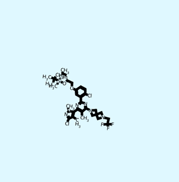 CCC[C@H](COc1ccc(Cl)c(-c2nc(-c3c(C)c(Cl)nn3C)c(C)c(N3CC4(CN(CC(F)(F)F)C4)C3)n2)c1)O[Si](C)(C)C(C)(C)C